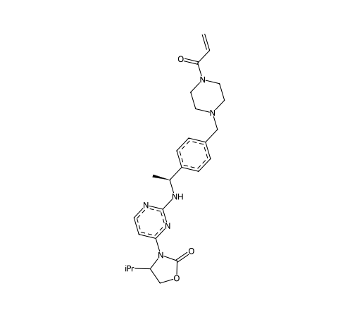 C=CC(=O)N1CCN(Cc2ccc([C@H](C)Nc3nccc(N4C(=O)OCC4C(C)C)n3)cc2)CC1